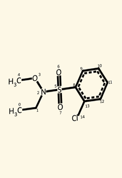 CCN(OC)S(=O)(=O)c1ccccc1Cl